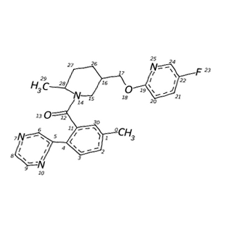 Cc1ccc(-c2cnccn2)c(C(=O)N2CC(COc3ccc(F)cn3)CCC2C)c1